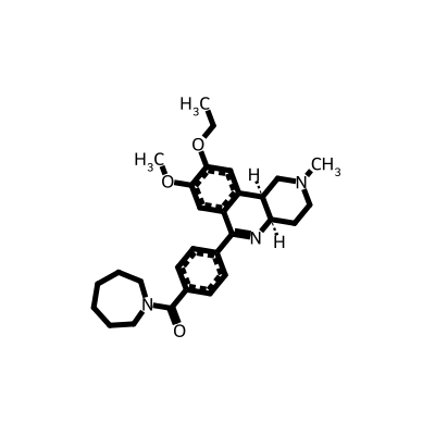 CCOc1cc2c(cc1OC)C(c1ccc(C(=O)N3CCCCCC3)cc1)=N[C@@H]1CCN(C)C[C@H]21